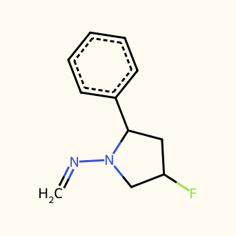 C=NN1CC(F)CC1c1ccccc1